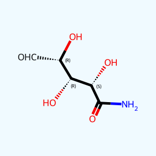 NC(=O)[C@@H](O)[C@H](O)[C@@H](O)C=O